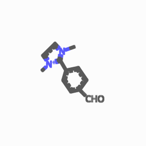 Cn1cc[n+](C)c1-c1ccc(C=O)cc1